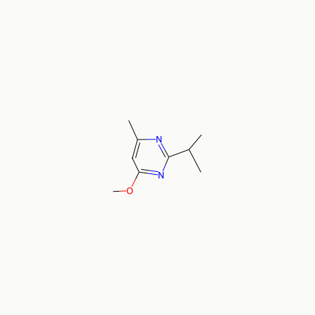 COc1cc(C)nc(C(C)C)n1